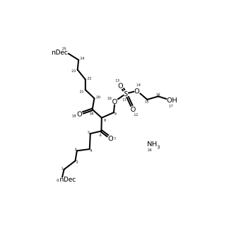 CCCCCCCCCCCCCCCC(=O)C(COS(=O)(=O)OCCO)C(=O)CCCCCCCCCCCCCCC.N